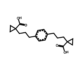 O=C(O)C1(CCCc2ccc(CCCC3(C(=O)O)CC3)cc2)CC1